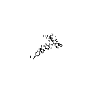 Cc1ccc(S(=O)(=O)NN=C2CCC(OCC3N(C(=O)OC(C)(C)C)CCC34COCC(=O)N4)CC2)cc1